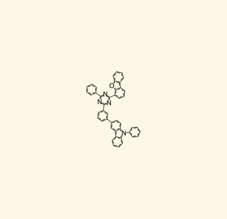 c1ccc(-c2nc(-c3cccc(-c4ccc5c(c4)c4ccccc4n5-c4ccccc4)c3)nc(-c3cccc4c3oc3ccccc34)n2)cc1